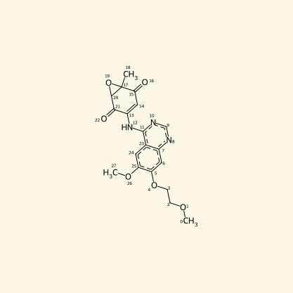 COCCOc1cc2ncnc(NC3=CC(=O)C4(C)OC4C3=O)c2cc1OC